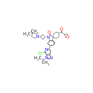 CC(C)n1cnc2cc(-c3ccc4c(c3)N([C@H]3C[C@@H](N5CCC(C)(C)C5)C3)C(=O)C43CCC(C(=O)C4COC4)CC3)nc(Cl)c21